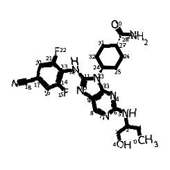 CCC(CO)Nc1ncc2nc(Nc3c(F)cc(C#N)cc3F)n([C@H]3CC[C@@H](C(N)=O)CC3)c2n1